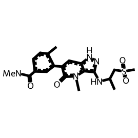 CNC(=O)c1ccc(C)c(-c2cc3[nH]nc(NC(C)CS(C)(=O)=O)c3n(C)c2=O)c1